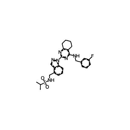 CC(C)S(=O)(=O)NCc1cccc2c1cnn2-c1nc2c(c(NCc3cccc(F)c3)n1)CCCC2